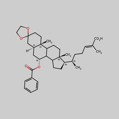 CC(=CCC[C@@H](C)[C@H]1CCC2C3C(CC[C@@]21C)[C@@]1(C)CCC2(C[C@@H]1C[C@H]3OC(=O)c1ccccc1)OCCO2)C(=O)O